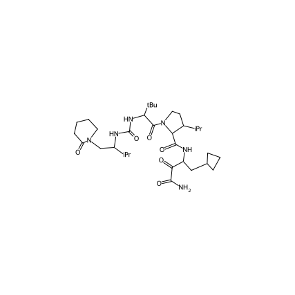 CC(C)C(CN1CCCCC1=O)NC(=O)NC(C(=O)N1CCC(C(C)C)C1C(=O)NC(CC1CCC1)C(=O)C(N)=O)C(C)(C)C